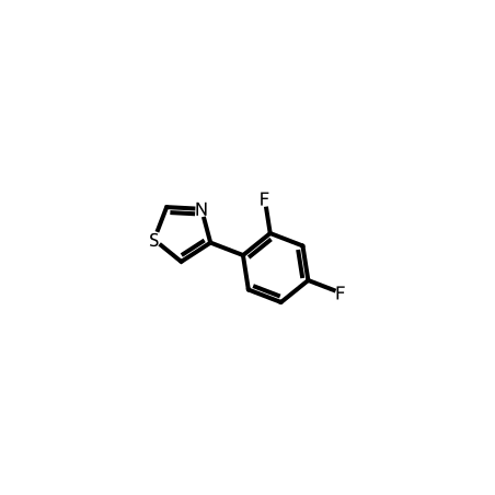 Fc1ccc(-c2cscn2)c(F)c1